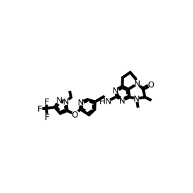 CCn1nc(C(F)(F)F)cc1Oc1ccc(CNc2nc3c4c(n2)N(C)C(C)C(=O)N4CCC3)cn1